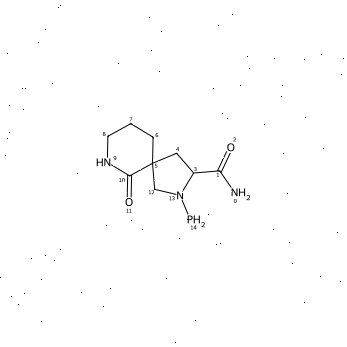 NC(=O)C1CC2(CCCNC2=O)CN1P